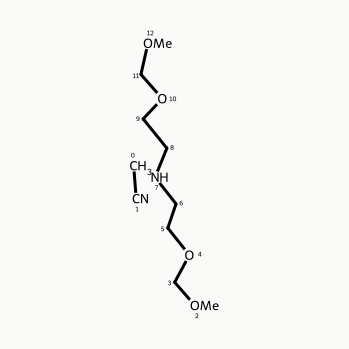 CC#N.COCOCCNCCOCOC